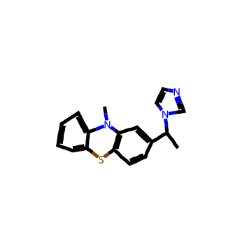 CC(c1ccc2c(c1)N(C)c1ccccc1S2)n1ccnc1